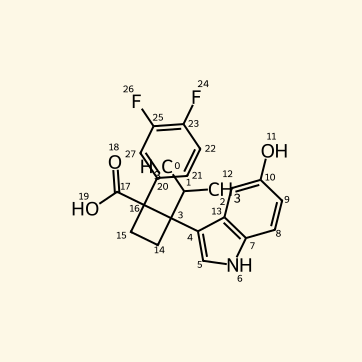 CC(C)C1(c2c[nH]c3ccc(O)cc23)CCC1(C(=O)O)c1ccc(F)c(F)c1